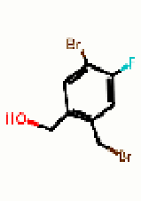 OCc1cc(Br)c(F)cc1CBr